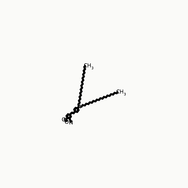 CCCCCCCCCCCCCCCCCCCCCCN(CCCCCCCCCCCCCCCCCCCCCC)c1ccc(C=Cc2ccc([N+](=O)[O-])c(C#N)c2)cc1